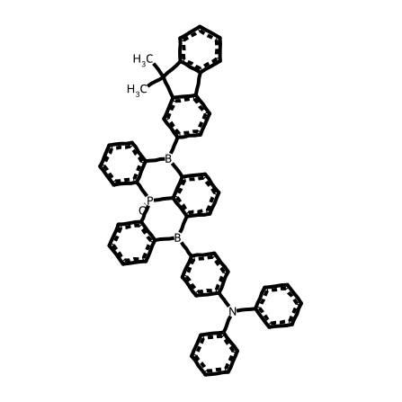 CC1(C)c2ccccc2-c2ccc(B3c4ccccc4P4(=O)c5ccccc5B(c5ccc(N(c6ccccc6)c6ccccc6)cc5)c5cccc3c54)cc21